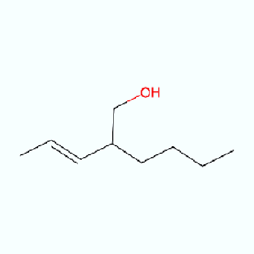 CC=CC(CO)CCCC